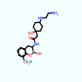 NCCNC1CCC(O)(CC(=O)NC2Cc3cccc(C(=O)O)c3OB2O)CC1